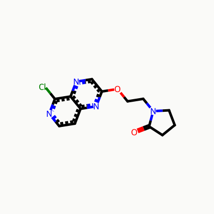 O=C1CCCN1CCOc1cnc2c(Cl)nccc2n1